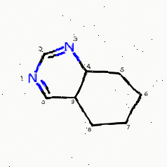 C1=NC=NC2CCCCC12